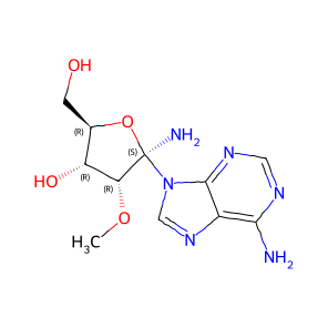 CO[C@@H]1[C@H](O)[C@@H](CO)O[C@@]1(N)n1cnc2c(N)ncnc21